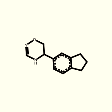 C1=NOCC(c2ccc3c(c2)CCC3)N1